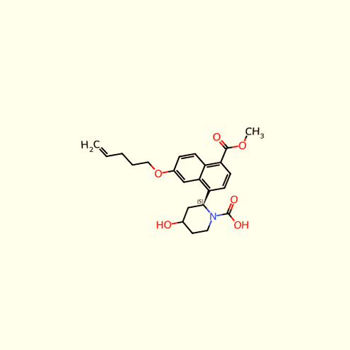 C=CCCCOc1ccc2c(C(=O)OC)ccc([C@@H]3CC(O)CCN3C(=O)O)c2c1